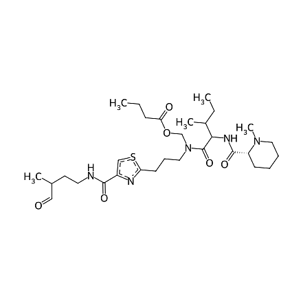 CCCC(=O)OCN(CCCc1nc(C(=O)NCCC(C)C=O)cs1)C(=O)C(NC(=O)[C@H]1CCCCN1C)C(C)CC